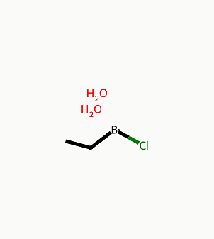 CC[B]Cl.O.O